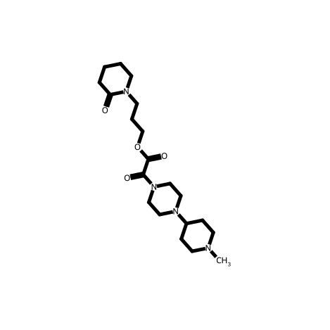 CN1CCC(N2CCN(C(=O)C(=O)OCCCN3CCCCC3=O)CC2)CC1